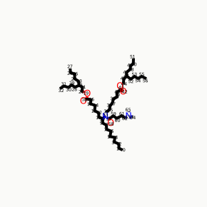 CCCCCCCCCCC(CCCCCCC(=O)OCCC(CCCCC)CCCCC)N(CCCCCCCC(=O)OCCC(CCCCC)CCCCC)C(=O)CCCCN(C)C